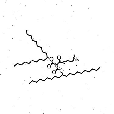 CCCCCCCCCCC(CCCCCCCCC)OC(=O)N(C(=O)OC(CCCCCCCCC)CCCCCCCCC)C(=O)SCCN(C)C